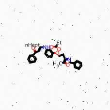 CCCCCCC/C(=C\C(=O)c1ccccc1)Nc1cccc(OCCc2nc(-c3ccccc3)oc2C)c1OC(=O)CC